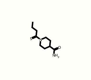 CCCC(=S)N1CCC(C(N)=O)CC1